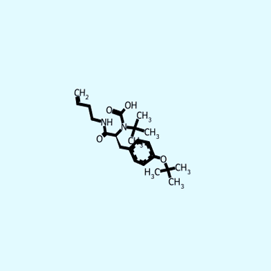 C=CCCNC(=O)[C@H](Cc1ccc(OC(C)(C)C)cc1)N(C(=O)O)C(C)(C)C